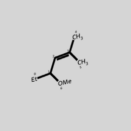 CCC(C=C(C)C)OC